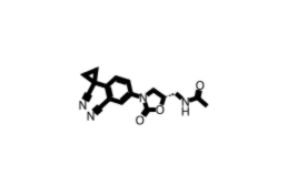 CC(=O)NC[C@H]1CN(c2ccc(C3(C#N)CC3)c(C#N)c2)C(=O)O1